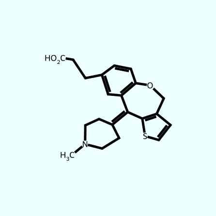 CN1CCC(=C2c3cc(CCC(=O)O)ccc3OCc3ccsc32)CC1